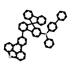 c1ccc(-c2ccc(N(c3ccccc3)c3ccc4c(c3)C3(c5ccccc5-c5ccccc53)c3cccc(-c5ccc6c(c5)c5cccc7oc8cccc6c8c75)c3-4)cc2)cc1